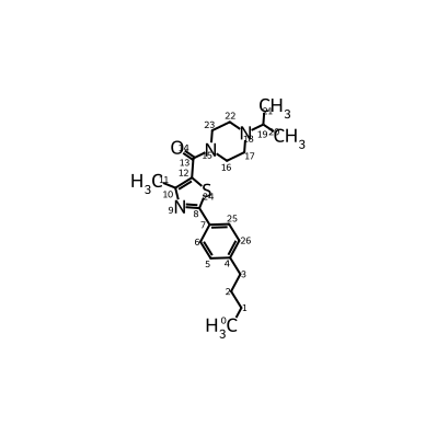 CCCCc1ccc(-c2nc(C)c(C(=O)N3CCN(C(C)C)CC3)s2)cc1